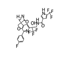 C[C@]1(C(N)=O)COc2c1cc([C@@](O)(CNC(=O)c1c[nH]c(C(F)(F)F)c1)C(F)(F)F)nc2-c1ccc(F)cc1